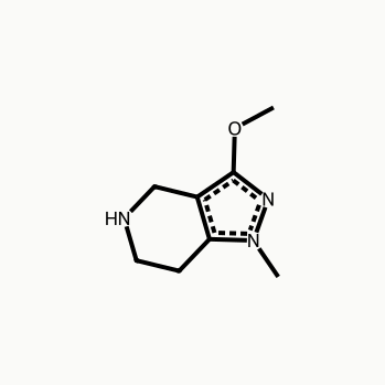 COc1nn(C)c2c1CNCC2